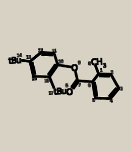 Cc1ccccc1C(=O)Oc1ccc(C(C)(C)C)cc1C(C)(C)C